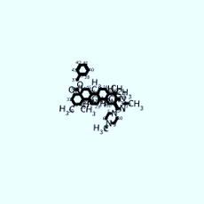 Cc1nc(N2CCN(C)CC2)c2c(n1)C(C)(C)[C@@H]1CC[C@]3(C)[C@H](CC=C4[C@@H]5[C@@H](C)[C@H](C)CC[C@]5(C(=O)OCc5ccccc5)CC[C@]43C)[C@@]1(C)C2